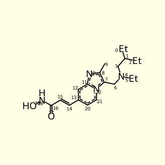 CCC(CC)CN(CC)Cc1c(C)nc2cc(C=CC(=O)NO)ccn12